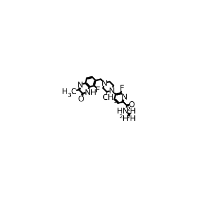 [2H]C([2H])([2H])NC(=O)c1ccc(N2CCN(Cc3ccc4nc(C)c(=O)[nH]c4c3F)C[C@H]2C)c(F)n1